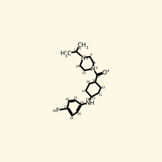 CC(C)N1CCN(C(=O)C2CCC(Nc3ccc(F)cc3)CC2)CC1